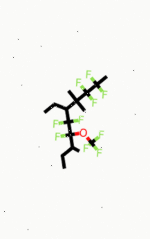 CCC(C(C)(C)C(F)(F)C(C)(F)F)C(F)(F)C(F)(OC(F)(F)F)C(C)CC